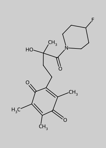 CC1=C(C)C(=O)C(CCC(C)(O)C(=O)N2CCC(F)CC2)=C(C)C1=O